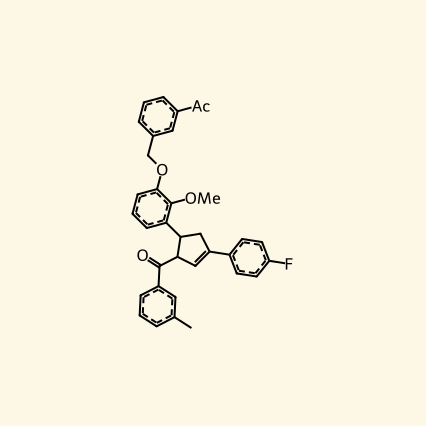 COc1c(OCc2cccc(C(C)=O)c2)cccc1C1CC(c2ccc(F)cc2)=CC1C(=O)c1cccc(C)c1